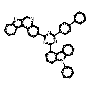 c1ccc(-c2ccc(-c3nc(-c4ccc5c(c4)ncc4oc6ccccc6c45)nc(-c4cccc5c4c4ccccc4n5-c4ccccc4)n3)cc2)cc1